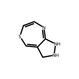 C1=CSC=C2CNNC2=N1